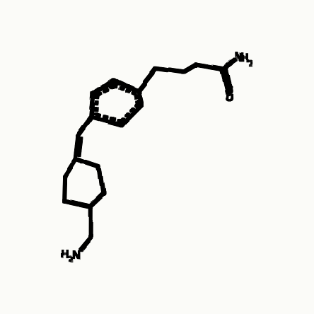 NCC1CCC(=Cc2ccc(CCCC(N)=O)cc2)CC1